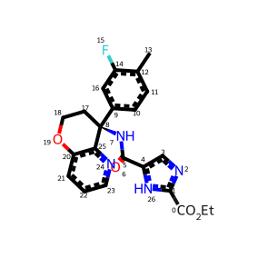 CCOC(=O)c1ncc(C(=O)N[C@]2(c3ccc(C)c(F)c3)CCOc3cccnc32)[nH]1